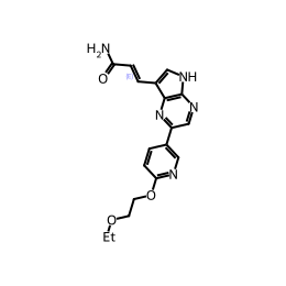 CCOCCOc1ccc(-c2cnc3[nH]cc(/C=C/C(N)=O)c3n2)cn1